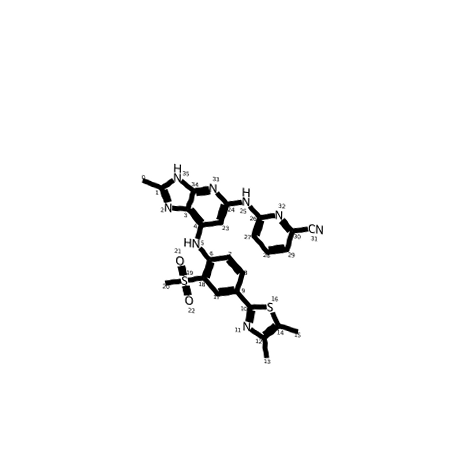 Cc1nc2c(Nc3ccc(-c4nc(C)c(C)s4)cc3S(C)(=O)=O)cc(Nc3cccc(C#N)n3)nc2[nH]1